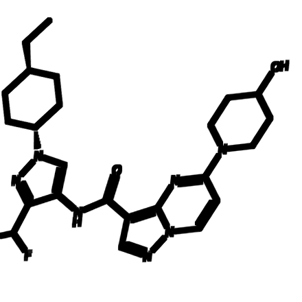 CC[C@H]1CC[C@H](n2cc(NC(=O)c3cnn4ccc(N5CCC(O)CC5)nc34)c(C(F)F)n2)CC1